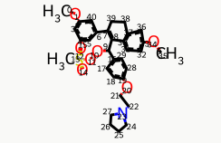 COc1cccc(C2=C(C(OOS(C)(=O)=O)c3ccc(OCCN4CCCC4)cc3)c3ccc(OC)cc3CC2)c1